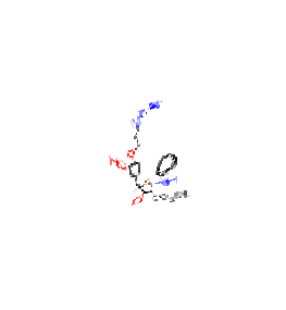 CCOC(=O)C1=C(Nc2ccccc2)S/C(=C\c2ccc(OCCCN=[N+]=[N-])c(O)c2)C1=O